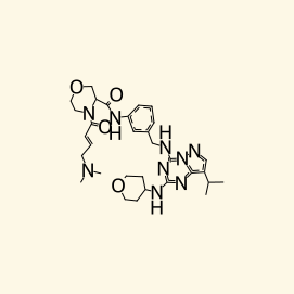 CC(C)c1cnn2c(NCc3cccc(NC(=O)C4COCCN4C(=O)C=CCN(C)C)c3)nc(NC3CCOCC3)nc12